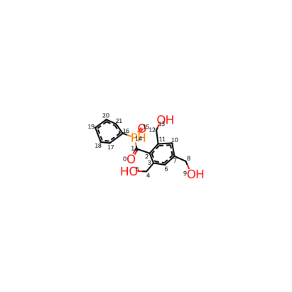 O=C(c1c(CO)cc(CO)cc1CO)[PH](=O)c1ccccc1